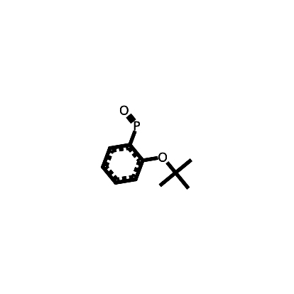 CC(C)(C)Oc1ccccc1P=O